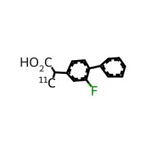 [11CH3]C(C(=O)O)c1ccc(-c2ccccc2)c(F)c1